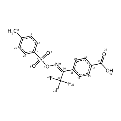 Cc1ccc(S(=O)(=O)O/N=C(/c2ccc(C(=O)O)cc2)C(F)(F)F)cc1